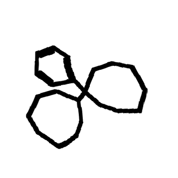 [c]1ccccc1C1(C2CCCCCCC2)CCCCCCC1